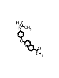 CC(=O)c1ccc2nc(Oc3ccc(NC(C)C)cc3)ccc2c1